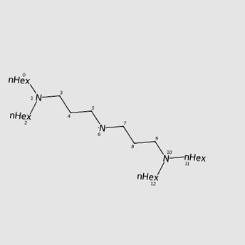 CCCCCCN(CCCCCC)CCC[N]CCCN(CCCCCC)CCCCCC